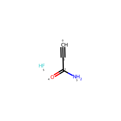 C#CC(N)=O.F